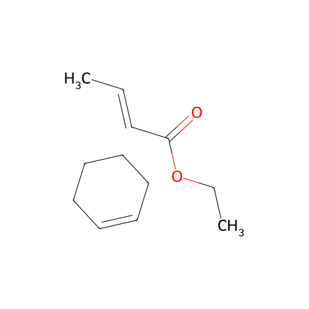 C1=CCCCC1.CC=CC(=O)OCC